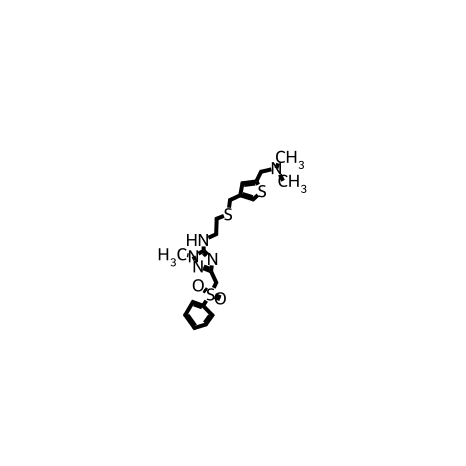 CN(C)Cc1cc(CSCCNc2nc(CS(=O)(=O)c3ccccc3)nn2C)cs1